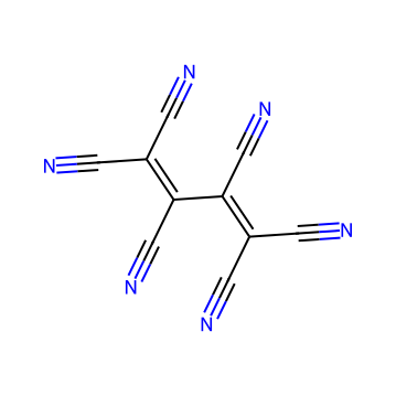 N#CC(C#N)=C(C#N)C(C#N)=C(C#N)C#N